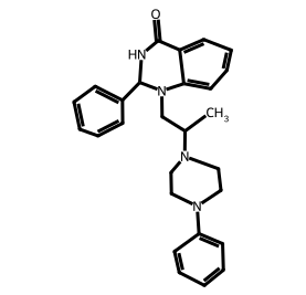 CC(CN1c2ccccc2C(=O)NC1c1ccccc1)N1CCN(c2ccccc2)CC1